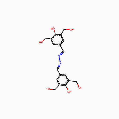 OCc1cc(C=NN=Cc2cc(CO)c(O)c(CO)c2)cc(CO)c1O